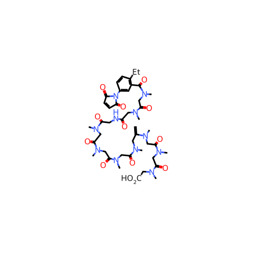 C=C(CN(C)C(=O)CN(C)C(=O)CN(C)C(=O)CN(C)C(=O)CNC(=O)CN(C)C(=O)CN(C)C(=O)c1cc(N2C(=O)C=CC2=O)ccc1CC)N(C)CC(=O)N(C)CC(=O)N(C)CC(=O)O